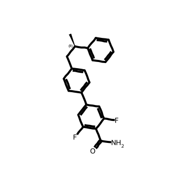 C[C@H](Cc1ccc(-c2cc(F)c(C(N)=O)c(F)c2)cc1)c1ccccc1